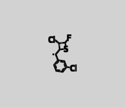 FC1SC([CH]c2cccc(Cl)c2)C1Cl